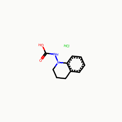 Cl.O=C(O)NN1CCCc2ccccc21